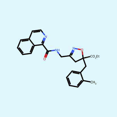 CCOC(=O)C1(Cc2ccccc2C)CC(CNC(=O)c2nccc3ccccc23)=NO1